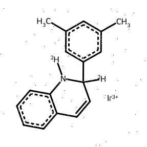 [2H]N1c2ccccc2C=CC1([2H])c1cc(C)cc(C)c1.[Ir+3]